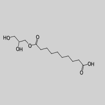 O=C(O)CCCCCCCCC(=O)OCC(O)CO